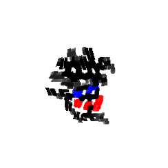 [2H]c1c([2H])c([2H])c(C(c2c([2H])c([2H])c(C)c([2H])c2[2H])[C@H]2CN(C(C)C)C(=O)c3c(OC(=O)C(C)C)c(=O)cnn32)c([2H])c1[2H]